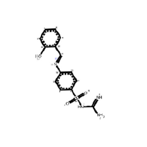 N=C(N)NS(=O)(=O)c1ccc(/N=C/c2ccccc2O)cc1